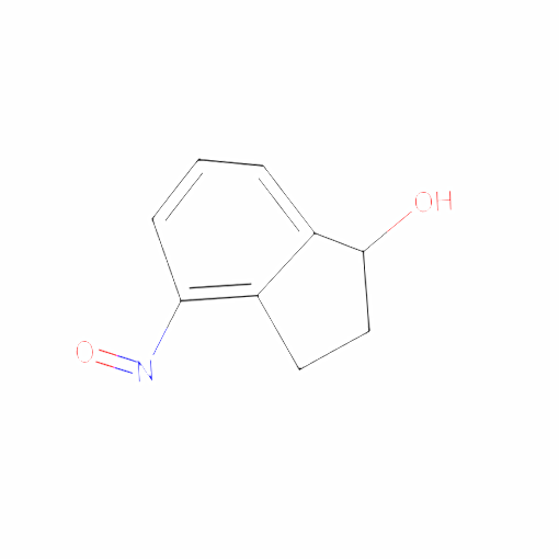 O=Nc1cccc2c1CCC2O